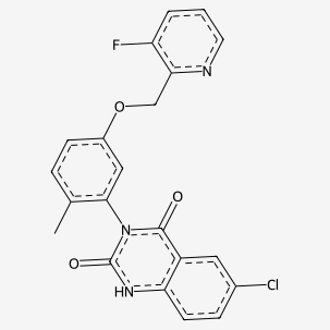 Cc1ccc(OCc2ncccc2F)cc1-n1c(=O)[nH]c2ccc(Cl)cc2c1=O